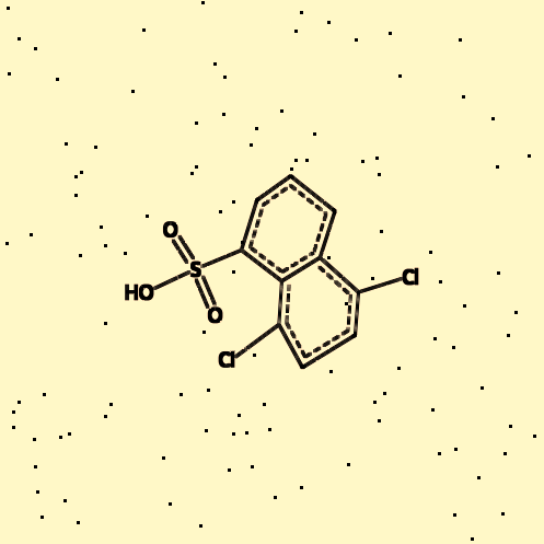 O=S(=O)(O)c1cccc2c(Cl)ccc(Cl)c12